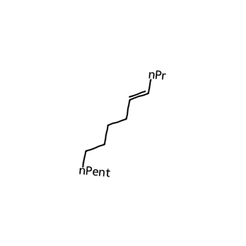 CCCC=CCCCCCCCCC